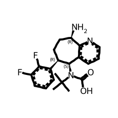 CC(C)(C)N(C(=O)O)[C@@H]1c2cccnc2[C@H](N)CC[C@@H]1c1cccc(F)c1F